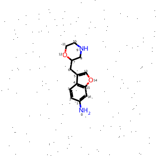 Nc1ccc2c(CC3CNCCO3)coc2c1